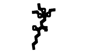 CCCCCC(=O)C(=S)CC[Si](OCC)(OCC)OCC